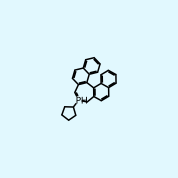 C1=[PH](C2CCCC2)Cc2ccc3ccccc3c2-c2c1ccc1ccccc21